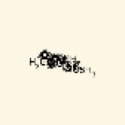 CCOC(=O)[C@H]1CCCN(C(=O)[C@@H](C)Oc2ccc3c(-c4ccccc4C)ccnc3c2)C1